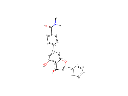 CN(C)C(=O)c1ccc(-c2cc(O)c3c(=O)cc(-c4ccccc4)oc3c2)cc1